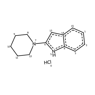 Cl.c1ccc2[nH]c(N3CCCCC3)cc2c1